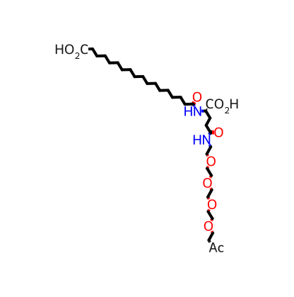 CC(=O)CCOCCOCCOCCOCCNC(=O)CC[C@H](NC(=O)CCCCCCCCCCCCCCCCC(=O)O)C(=O)O